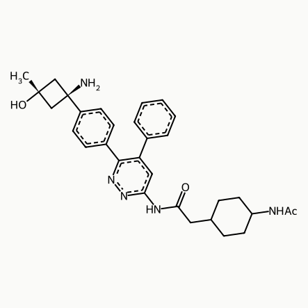 CC(=O)NC1CCC(CC(=O)Nc2cc(-c3ccccc3)c(-c3ccc([C@]4(N)C[C@](C)(O)C4)cc3)nn2)CC1